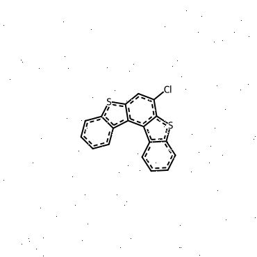 Clc1cc2sc3ccccc3c2c2c1sc1ccccc12